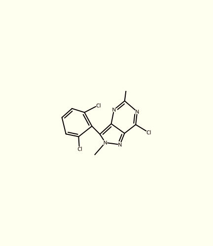 Cc1nc(Cl)c2nn(C)c(-c3c(Cl)cccc3Cl)c2n1